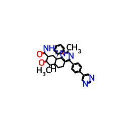 Cc1nc(-c2ccc(-c3cncnc3)cc2)c2c(n1)[C@]1(c3ccccc3)CC(C(N)=O)C(=O)[C@@H](C)[C@@H]1CC2